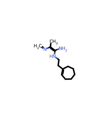 C=N/C(C)=C(/N)NCCC1=CCCCCC1